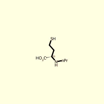 CCCN[C@@H](CCS)C(=O)O